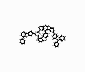 c1ccc(-c2nc(-c3ccc4c(c3)oc3c(-c5ccccc5)cccc34)nc(-c3cccc4oc5ccc(-c6cccc7oc8ccc(-c9ccc%10c(c9)c9ccccc9n%10-c9ccccc9)cc8c67)cc5c34)n2)cc1